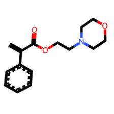 C=C(C(=O)OCCN1CCOCC1)c1ccccc1